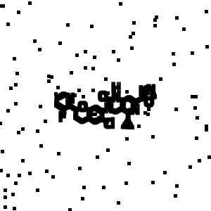 O=C1Nc2cc(-c3nnco3)nc(C3CC3)c2CN1c1cc2c(cc1Cl)CCC(c1ncccc1F)O2